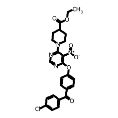 CCOC(=O)C1CCN(c2ncnc(Oc3ccc(C(=O)c4ccc(Cl)cc4)cc3)c2[N+](=O)[O-])CC1